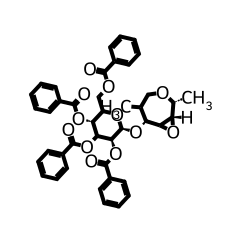 CC1CO[C@H](C)[C@@H]2OC2[C@@H]1O[C@@H]1OC(COC(=O)c2ccccc2)[C@@H](OC(=O)c2ccccc2)C(OC(=O)c2ccccc2)[C@@H]1OC(=O)c1ccccc1